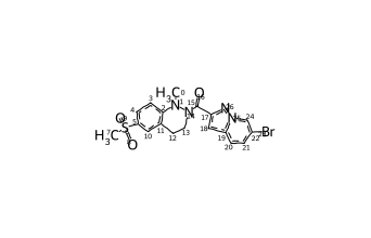 CN1c2ccc(S(C)(=O)=O)cc2CCN1C(=O)c1cc2ccc(Br)cn2n1